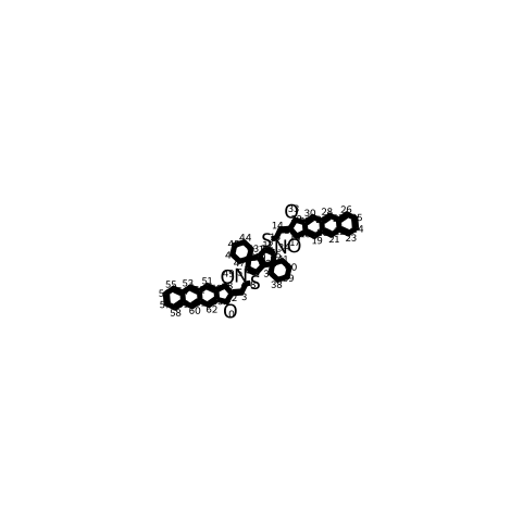 O=C1C(=Cc2nc3c(s2)C2=C(c4sc(C=C5C(=O)c6cc7cc8ccccc8cc7cc6C5=O)nc4C24CCCCC4)C32CCCCC2)C(=O)c2cc3cc4ccccc4cc3cc21